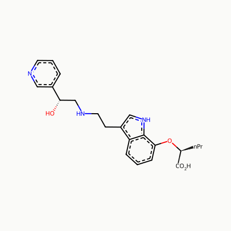 CCC[C@H](Oc1cccc2c(CCNC[C@H](O)c3cccnc3)c[nH]c12)C(=O)O